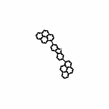 c1cc2ccc3ccc(-c4ccc5c(c4)sc4cc(-c6ccc7ccc8cccc9ccc6c7c89)ccc45)c4ccc(c1)c2c34